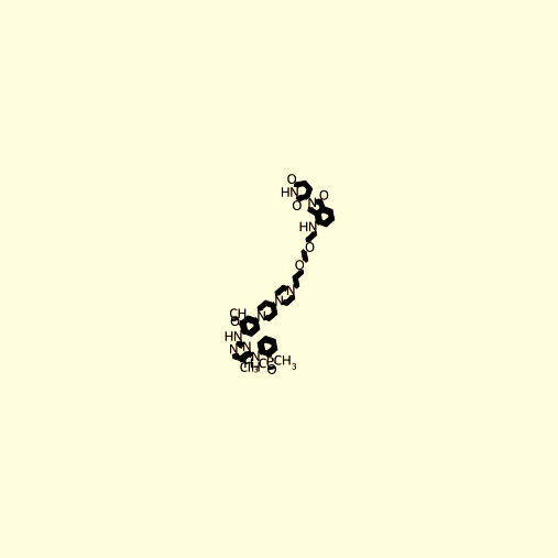 COc1cc(N2CCC(N3CCN(CCCOCCOCCNc4cccc5c4CN(C4CCC(=O)NC4=O)C5=O)CC3)CC2)ccc1Nc1ncc(Cl)c(Nc2ccccc2P(C)(C)=O)n1